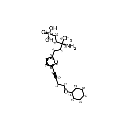 CC(N)(CCc1ccc(C#CCCOC2CCCCC2)o1)CCP(=O)(O)O